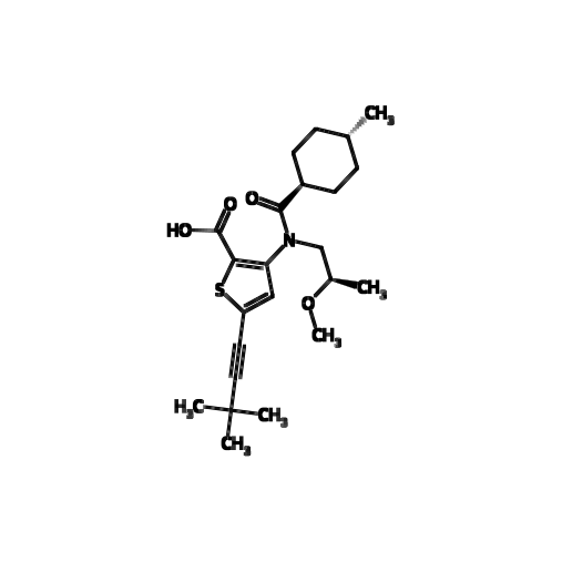 CO[C@H](C)CN(c1cc(C#CC(C)(C)C)sc1C(=O)O)C(=O)[C@H]1CC[C@H](C)CC1